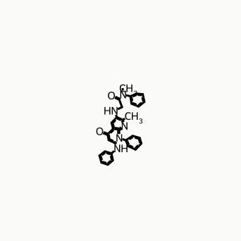 Cc1nc2c(cc1NCC(=O)N(C)c1ccccc1)c(=O)cc(Nc1ccccc1)n2-c1ccccc1